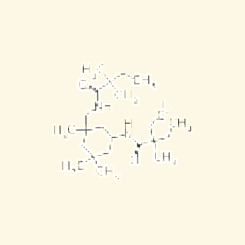 CCC(C)(C)C(=O)NCC1(C)CC(NC(=O)C(C)(CC)CC)CC(C)(C)C1